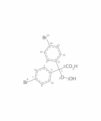 O=C(O)C(OO)(c1ccc(Br)cc1)c1ccc(Br)cc1